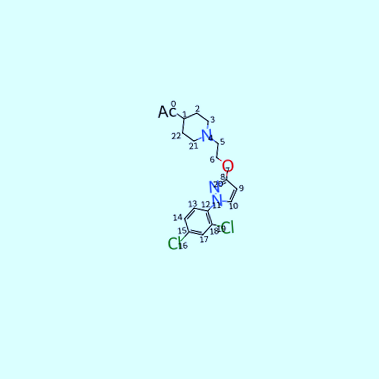 CC(=O)C1CCN(CCOc2ccn(-c3ccc(Cl)cc3Cl)n2)CC1